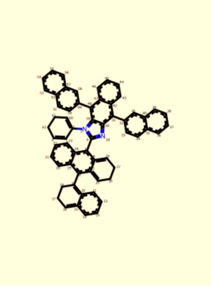 C1=CC(n2c(-c3c4c(c(C5=c6ccccc6=CCC5)c5ccccc35)=CCCC=4)nc3c(-c4ccc5ccccc5c4)c4ccccc4c(-c4ccc5ccccc5c4)c32)=CCC1